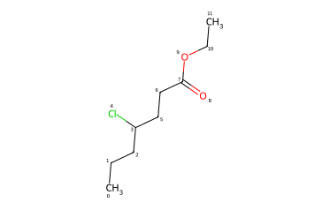 CCCC(Cl)CCC(=O)OCC